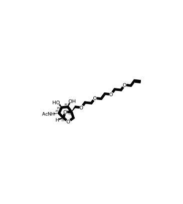 C=CCOCCOCCOCCOC[C@@]12CO[C@@H](O1)[C@H](NC(C)=O)[C@@H](O)[C@H]2O